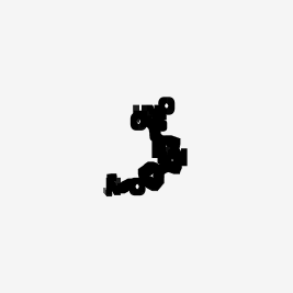 CN(C)CCOc1ccc(-c2cnc3ccc(/C=C4\SC(=O)NC4=O)nn23)cc1